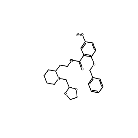 COc1ccc(OCc2ccccc2)c(C(=O)NCCC2CCCCN2CC2OCCO2)c1